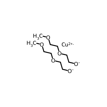 COCCOCC[O-].COCCOCC[O-].[Cu+2]